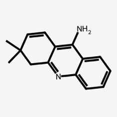 CC1(C)C=Cc2c(nc3ccccc3c2N)C1